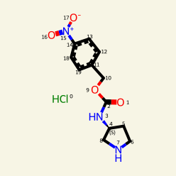 Cl.O=C(N[C@H]1CCNC1)OCc1ccc([N+](=O)[O-])cc1